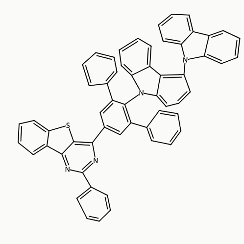 c1ccc(-c2nc(-c3cc(-c4ccccc4)c(-n4c5ccccc5c5c(-n6c7ccccc7c7ccccc76)cccc54)c(-c4ccccc4)c3)c3sc4ccccc4c3n2)cc1